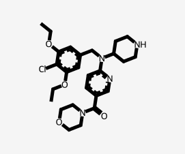 CCOc1cc(CN(c2ccc(C(=O)N3CCOCC3)cn2)C2CCNCC2)cc(OCC)c1Cl